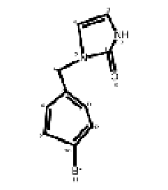 O=c1[nH]ccn1Cc1ccc(Br)cc1